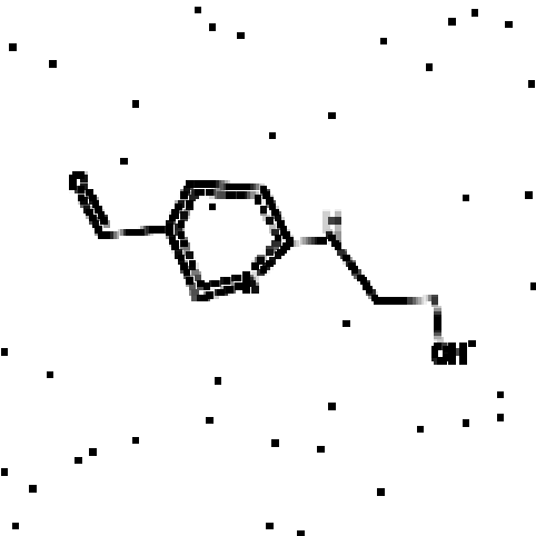 O=Cc1ccc(NCCO)nc1